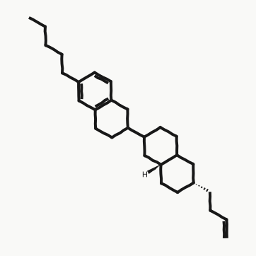 C=CCC[C@@H]1CC[C@@H]2CC(C3CCc4cc(CCCCC)ccc4C3)CCC2C1